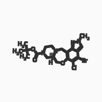 Cn1cc2c(Br)c(Cl)c3c(c2n1)CN1CCN(C(=O)OC(C)(C)C)C[C@@H]1CO3